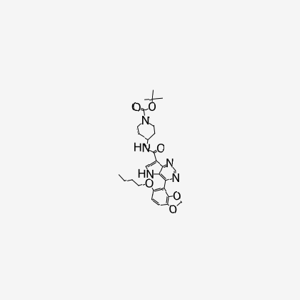 CCCCOc1ccc2c(c1-c1ncnc3c(C(=O)NC4CCN(C(=O)OC(C)(C)C)CC4)c[nH]c13)OCO2